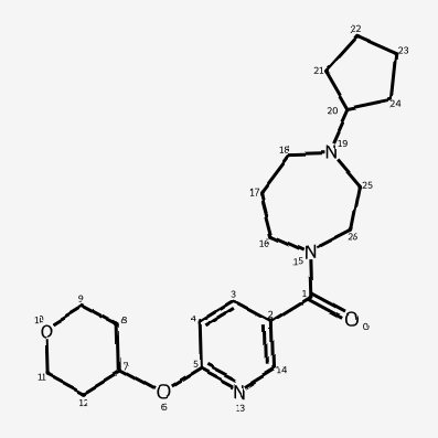 O=C(c1ccc(OC2CCOCC2)nc1)N1CCCN(C2CCCC2)CC1